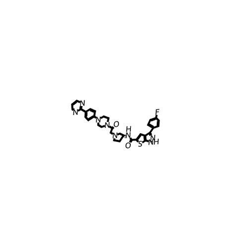 O=C(N[C@@H]1CCN(CC(=O)N2CCN(c3ccc(-c4ncccn4)cc3)CC2)C1)c1cc2c(-c3ccc(F)cc3)n[nH]c2s1